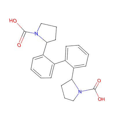 O=C(O)N1CCCC1c1ccccc1-c1ccccc1C1CCCN1C(=O)O